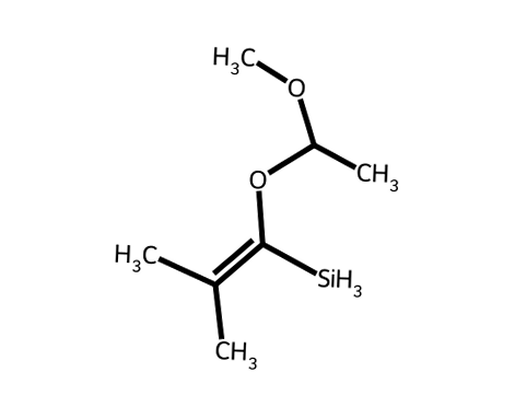 COC(C)OC([SiH3])=C(C)C